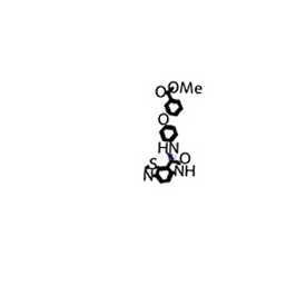 COC(=O)c1cccc(Oc2ccc(N/C=C3\C(=O)Nc4ccc5ncsc5c43)cc2)c1